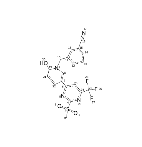 CS(=O)(=O)c1nc(C2=CN(Cc3cccc(C#N)c3)C(O)C=C2)cc(C(F)(F)F)n1